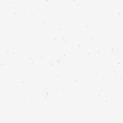 CC(C)(C)OC(=O)N1CCC(n2cc(COS(C)(=O)=O)cn2)CC1